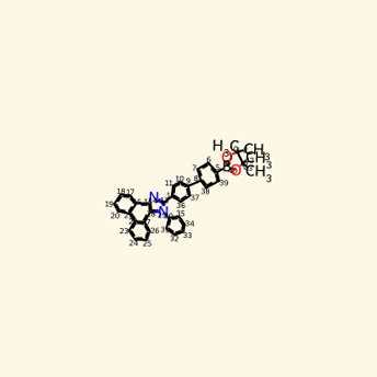 CC1(C)OB(c2ccc(-c3ccc(-c4nc5c6ccccc6c6ccccc6c5n4-c4ccccc4)cc3)cc2)OC1(C)C